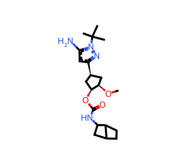 CO[C@@H]1C[C@H](c2cc(N)n(C(C)(C)C)n2)C[C@@H]1OC(=O)NC1CC2CCC21